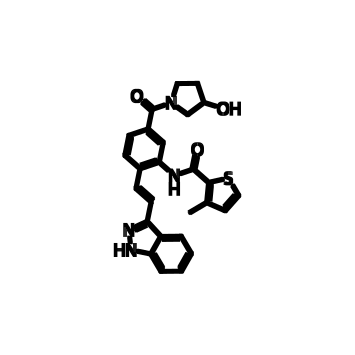 Cc1ccsc1C(=O)Nc1cc(C(=O)N2CCC(O)C2)ccc1C=Cc1n[nH]c2ccccc12